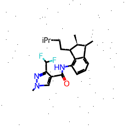 CC(C)CCC1c2c(NC(=O)c3cn(C)nc3C(F)F)cccc2C(C)[C@@H]1C